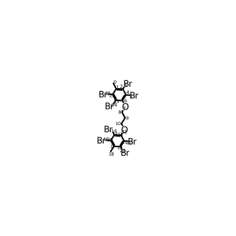 Cc1c(Br)c(Br)c(OCCCOc2c(Br)c(Br)c(C)c(Br)c2Br)c(Br)c1Br